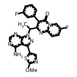 COc1ncc(-c2nn(C(C)c3nc4ccc(F)cn4c(=O)c3-c3cccc(F)c3)c3ncnc(N)c23)s1